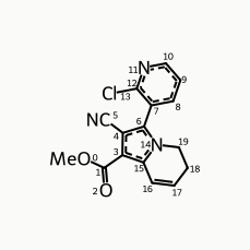 COC(=O)c1c(C#N)c(-c2cccnc2Cl)n2c1C=CCC2